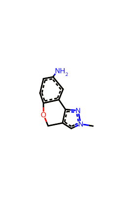 Cn1cc2c(n1)-c1cc(N)ccc1OC2